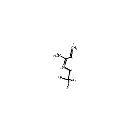 C=C/C(N)=N\CC(F)(F)F